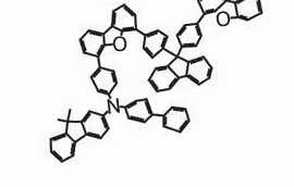 CC1(C)c2ccccc2-c2ccc(N(c3ccc(-c4ccccc4)cc3)c3ccc(-c4cccc5c4oc4c(-c6ccc(C7(c8ccc(-c9cccc%10c9oc9ccccc9%10)cc8)c8ccccc8-c8ccccc87)cc6)cccc45)cc3)cc21